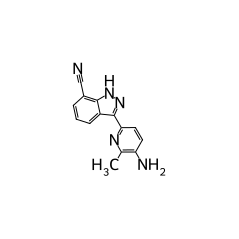 Cc1nc(-c2n[nH]c3c(C#N)cccc23)ccc1N